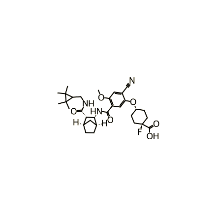 COc1cc(C#N)c(O[C@H]2CC[C@@](F)(C(=O)O)CC2)cc1C(=O)N[C@@H]1[C@H]2CC[C@H](C2)[C@@H]1C(=O)NCC1C(C)(C)C1(C)C